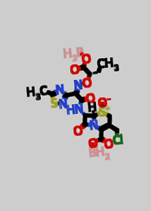 BOC(=O)C1=C(CCl)C[S+]([O-])[C@@H]2[C@H](NC(=O)/C(=N\O[C@@H](CC)C(=O)OB)c3nsc(C)n3)C(=O)N12